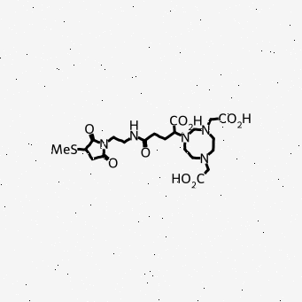 CSC1CC(=O)N(CCNC(=O)CCC(C(=O)O)N2CCN(CC(=O)O)CCN(CC(=O)O)C2)C1=O